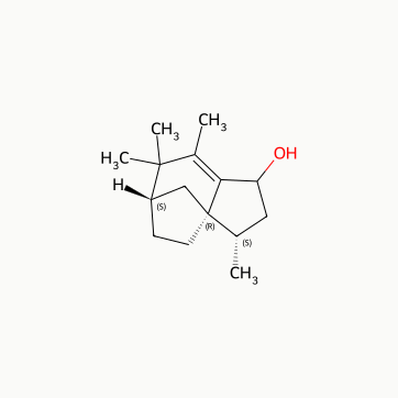 CC1=C2C(O)C[C@H](C)[C@]23CC[C@@H](C3)C1(C)C